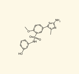 COc1ccc(-c2sc(N)nc2C)cc1S(=O)(=O)Nc1cccc(O)c1